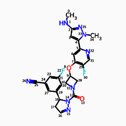 CNc1cc(-c2cc(OC3CN(C(=O)N4N=CC[C@H]4c4cc(F)cc(C#N)c4)C3)c(F)cn2)n(C)n1